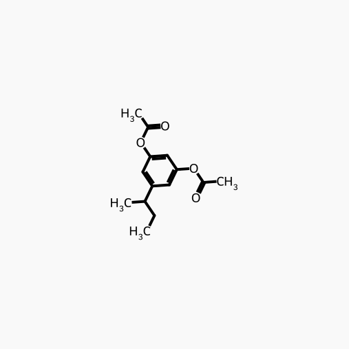 CCC(C)c1cc(OC(C)=O)cc(OC(C)=O)c1